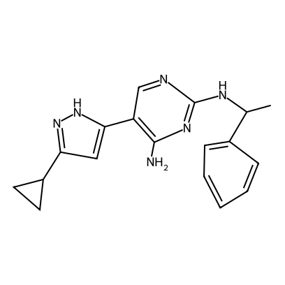 CC(Nc1ncc(-c2cc(C3CC3)n[nH]2)c(N)n1)c1ccccc1